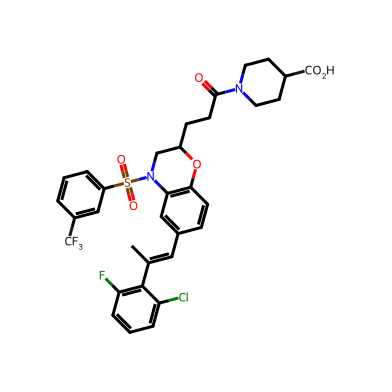 CC(=Cc1ccc2c(c1)N(S(=O)(=O)c1cccc(C(F)(F)F)c1)CC(CCC(=O)N1CCC(C(=O)O)CC1)O2)c1c(F)cccc1Cl